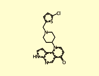 O=c1ccn(C2CCN(Cc3ccc(Cl)s3)CC2)c2c1cnc1[nH]ccc12